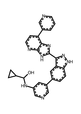 OC(Nc1cncc(-c2ccc3[nH]nc(-c4nc5c(-c6cccnc6)ccnc5[nH]4)c3c2)c1)C1CC1